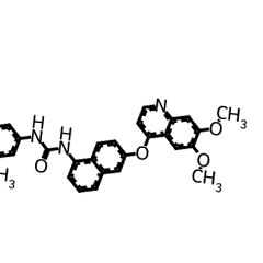 COc1cc2nccc(Oc3ccc4c(NC(=O)Nc5cccc(C)c5)cccc4c3)c2cc1OC